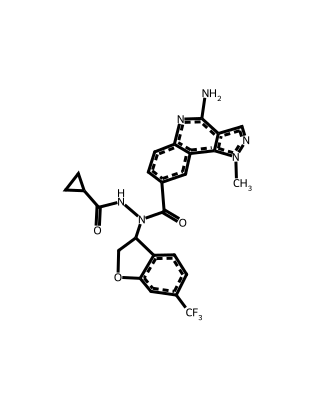 Cn1ncc2c(N)nc3ccc(C(=O)N(NC(=O)C4CC4)C4COc5cc(C(F)(F)F)ccc54)cc3c21